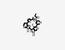 CCC(=O)Nc1cncc(-c2ncc3[nH]nc(-c4nc5c(-c6ccc(C(C)=O)s6)ccnc5[nH]4)c3c2F)c1